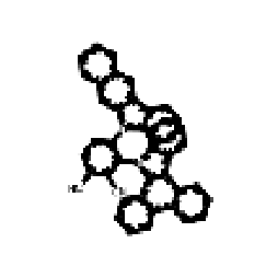 N#Cc1ccc(-n2c3ccccc3c3cc4ccccc4cc32)c(-n2c3ccccc3c3c4ccccc4c4ccccc4c32)c1C#N